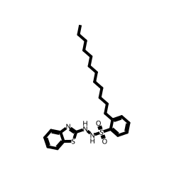 CCCCCCCCCCCCc1ccccc1S(=O)(=O)NNc1nc2ccccc2s1